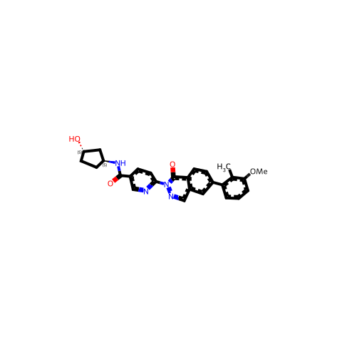 COc1cccc(-c2ccc3c(=O)n(-c4ccc(C(=O)N[C@H]5CC[C@H](O)C5)cn4)ncc3c2)c1C